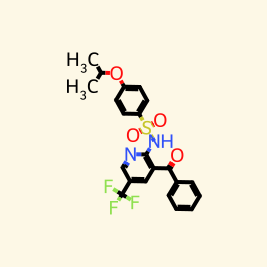 CC(C)Oc1ccc(S(=O)(=O)Nc2ncc(C(F)(F)F)cc2C(=O)c2ccccc2)cc1